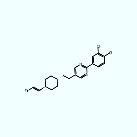 CCC=C[C@H]1CC[C@H](CCc2cnc(-c3ccc(Cl)c(Cl)c3)nc2)CC1